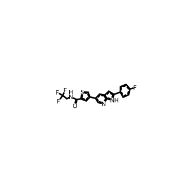 O=C(NCC(F)(F)F)c1cc(-c2cnc3[nH]c(-c4ccc(F)cc4)cc3c2)cs1